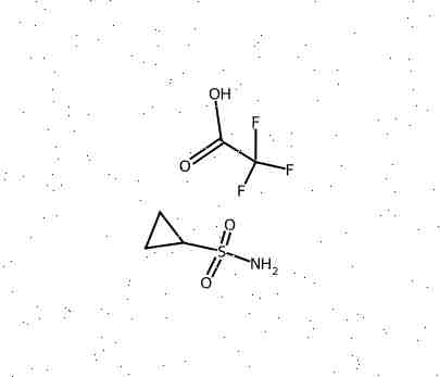 NS(=O)(=O)C1CC1.O=C(O)C(F)(F)F